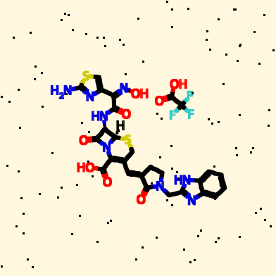 Nc1nc(/C(=N/O)C(=O)N[C@@H]2C(=O)N3C(C(=O)O)=C(/C=C4\CCN(Cc5nc6ccccc6[nH]5)C4=O)CS[C@H]23)cs1.O=C(O)C(F)(F)F